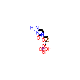 Nc1ccn([C@H]2CS[C@@H](COP(=O)(O)O)O2)c(=O)n1